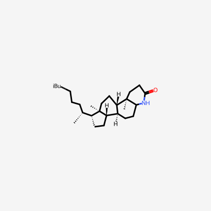 CCC(C)CCC[C@@H](C)[C@H]1CC[C@H]2[C@@H]3CCC4NC(=O)CC[C@]4(C)[C@H]3CC[C@]12C